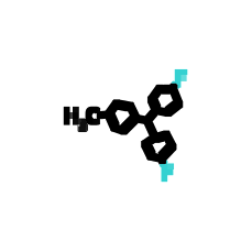 Cc1ccc(C(c2ccc(F)cc2)c2ccc(F)cc2)cc1